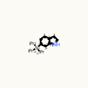 CC(C)[Si](c1ccc2cc[nH]c2c1)(C(C)C)C(C)C